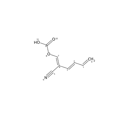 C=CC=CC(C#N)=COC(=O)O